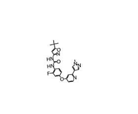 Cn1cc(-c2cc(Oc3ccc(NC(=O)Nc4cc(C(C)(C)C)on4)c(F)c3)ccn2)cn1